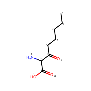 CCCCCC(=O)C(N)C(=O)O